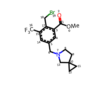 COC(=O)c1cc(CN2CCC3(CC3)C2)cc(C(F)(F)F)c1CBr